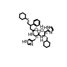 O=C(CC(CSC1CCCCC1)c1ccccc1)N[C@@H](Cc1c[nH]cn1)C(=O)N[C@@H](CC1CCCCC1)[C@@H](O)c1ncc[nH]1